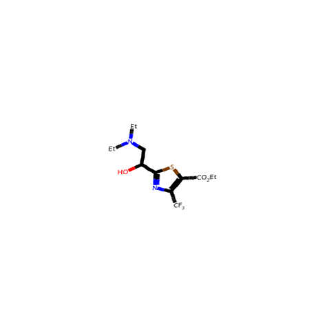 CCOC(=O)c1sc(C(O)CN(CC)CC)nc1C(F)(F)F